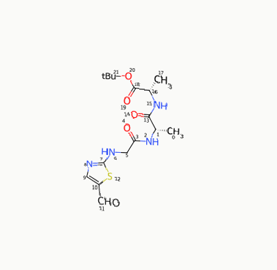 C[C@H](NC(=O)CNc1ncc(C=O)s1)C(=O)N[C@@H](C)C(=O)OC(C)(C)C